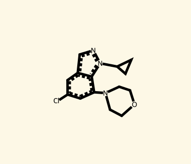 Clc1cc(N2CCOCC2)c2c(cnn2C2CC2)c1